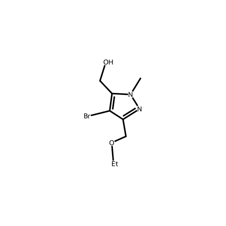 CCOCc1nn(C)c(CO)c1Br